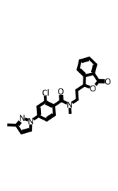 Cc1ccn(-c2ccc(C(=O)N(C)CCC3OC(=O)c4ccccc43)c(Cl)c2)n1